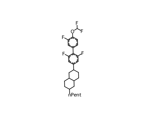 CCCCCC1CCC2CC(c3cc(F)c(-c4ccc(OC(F)F)c(F)c4)c(F)c3)CCC2C1